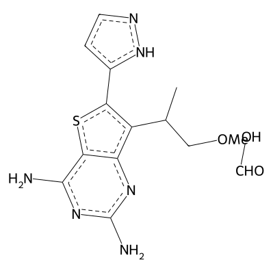 COCC(C)c1c(-c2ccn[nH]2)sc2c(N)nc(N)nc12.O=CO